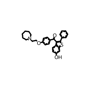 O=C(c1ccc(OCCN2CCCCCC2)cc1)c1c(-c2ccccc2)sc2cc(O)ccc12